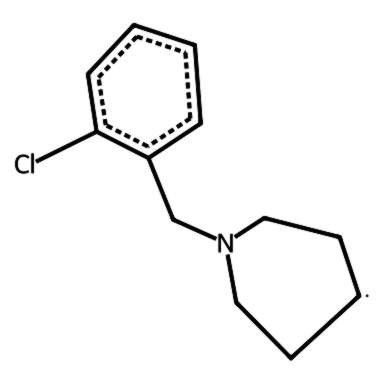 Clc1ccccc1CN1CC[CH]CC1